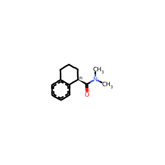 CN(C)C(=O)[C@@H]1CCCc2ccccc21